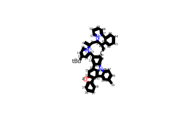 C=C1CC2C(CCc3cc4c(cc3-c3cc(C(C)(C)C)cc[n+]31)c1cc3oc5ccccc5c3c3c5cc(C)ccc5n4c13)c1ccccc1-c1cccc[n+]12